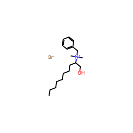 CCCCCCCCC(CO)[N+](C)(C)Cc1ccccc1.[Br-]